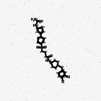 N=C(N)Nc1nc(-c2ccc(S(=O)(=O)CCCC(=O)NC3CCN(Cc4ccc(Cl)c(Cl)c4)CC3)cc2)cs1